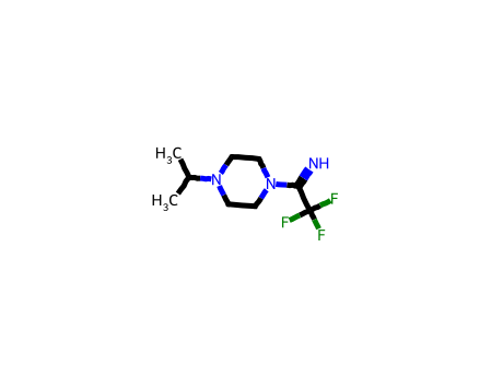 CC(C)N1CCN(C(=N)C(F)(F)F)CC1